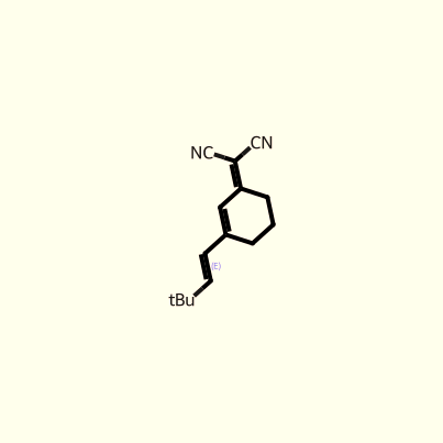 CC(C)(C)/C=C/C1=CC(=C(C#N)C#N)CCC1